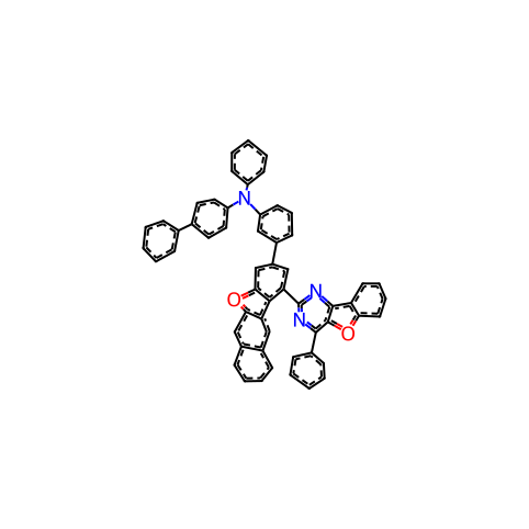 c1ccc(-c2ccc(N(c3ccccc3)c3cccc(-c4cc(-c5nc(-c6ccccc6)c6oc7ccccc7c6n5)c5c(c4)oc4cc6ccccc6cc45)c3)cc2)cc1